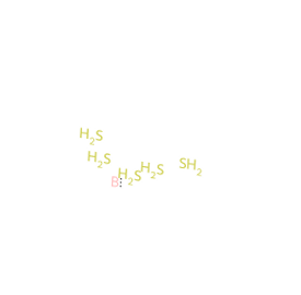 S.S.S.S.S.[B]